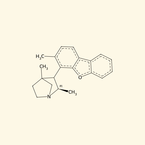 Cc1ccc2c(oc3ccccc32)c1C1[C@@H](C)N2CCC1(C)C2